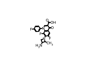 CC1C(N)CN1c1c(F)cc2c(=O)c(C(=O)O)cn(-c3ccc(F)cc3)c2c1F